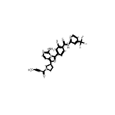 CC#CC(=O)N1CCC(c2nc(-c3ccc(C(=O)Nc4cc(C(F)(F)F)ccn4)c(F)c3)n3c(N)nccc23)C1